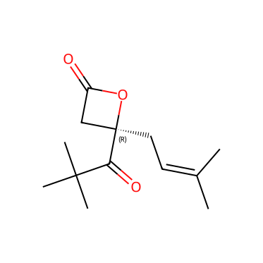 CC(C)=CC[C@]1(C(=O)C(C)(C)C)CC(=O)O1